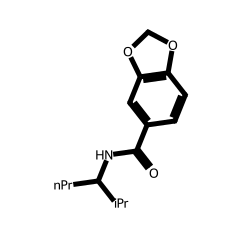 CCCC(NC(=O)c1ccc2c(c1)OCO2)C(C)C